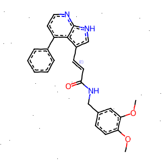 COc1ccc(CNC(=O)/C=C/c2c[nH]c3nccc(-c4ccccc4)c23)cc1OC